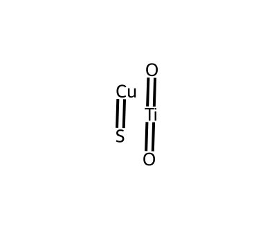 [O]=[Ti]=[O].[S]=[Cu]